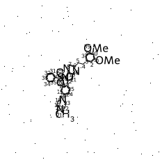 COc1cc(CCc2cnc3c(cc(-c4ccc(N5CCN(C)CC5)cc4)n3S(=O)(=O)c3ccccc3)n2)cc(OC)c1